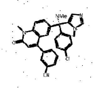 CN[C@](c1ccc(Cl)cc1)(c1ccc2c(c1)c(-c1cccc(C#N)c1)cc(=O)n2C)c1cncn1C